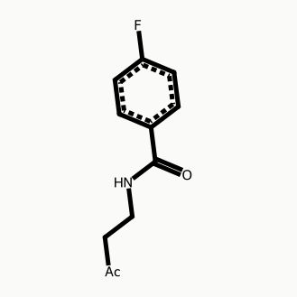 CC(=O)CCNC(=O)c1ccc(F)cc1